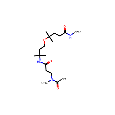 CCCC(=O)N(C=O)CCC(=O)NC(C)(C)CCOC(C)(C)CCC(=O)NNC